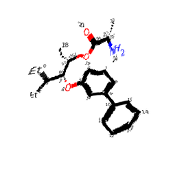 CCC(CC)[C@@H](Oc1cccc(-c2ccccc2)c1)[C@H](C)OC(=O)[C@H](C)N